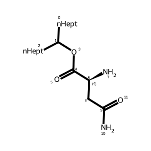 CCCCCCCC(CCCCCCC)OC(=O)[C@@H](N)CC(N)=O